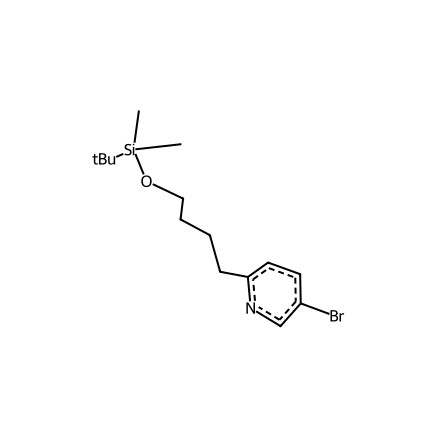 CC(C)(C)[Si](C)(C)OCCCCc1ccc(Br)cn1